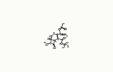 CO[C@@H]1C(=O)N2C(C(=O)OC(C)(C)C)=C(C(N)OC(C)=O)CS[C@H]12